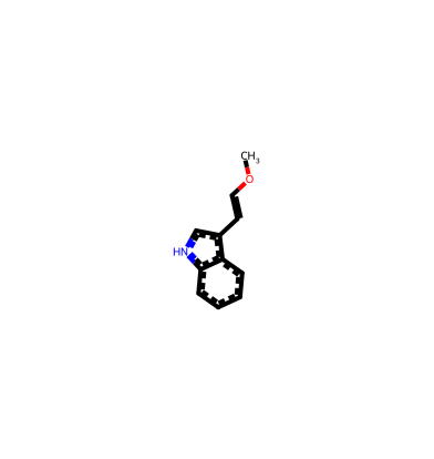 COC=Cc1c[nH]c2ccccc12